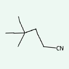 CC(C)(C)CCC#N